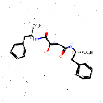 O=C(/C=C(\O)C(=O)N[C@@H](Cc1ccccc1)C(=O)O)N[C@@H](Cc1ccccc1)C(=O)O